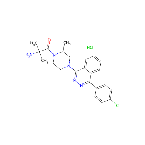 CC1CN(c2nnc(-c3ccc(Cl)cc3)c3ccccc23)CCN1C(=O)C(C)(C)N.Cl